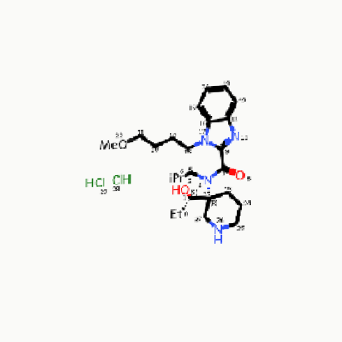 CC[C@H](O)[C@@]1(N(CC(C)C)C(=O)c2nc3ccccc3n2CCCCOC)CCCNC1.Cl.Cl